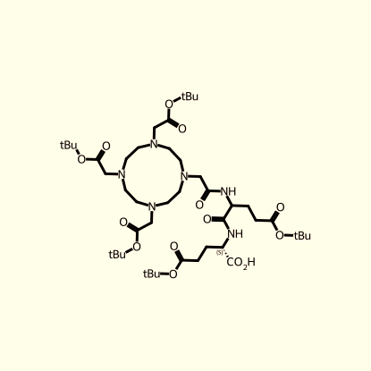 CC(C)(C)OC(=O)CCC(NC(=O)CN1CCN(CC(=O)OC(C)(C)C)CCN(CC(=O)OC(C)(C)C)CCN(CC(=O)OC(C)(C)C)CC1)C(=O)N[C@@H](CCC(=O)OC(C)(C)C)C(=O)O